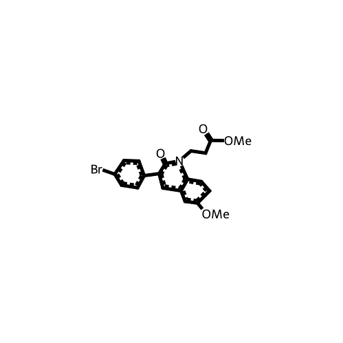 COC(=O)CCn1c(=O)c(-c2ccc(Br)cc2)cc2cc(OC)ccc21